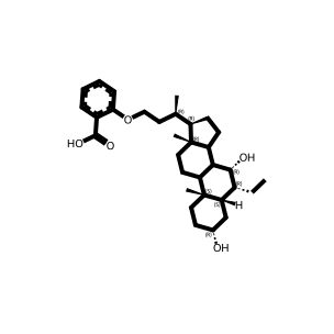 CC[C@H]1[C@@H](O)C2C3CC[C@H]([C@H](C)CCOc4ccccc4C(=O)O)[C@@]3(C)CCC2[C@@]2(C)CC[C@@H](O)C[C@@H]12